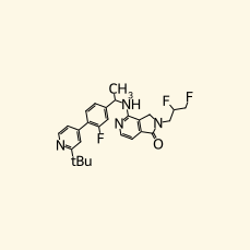 CC(Nc1nccc2c1CN(CC(F)CF)C2=O)c1ccc(-c2ccnc(C(C)(C)C)c2)c(F)c1